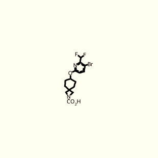 O=C(O)N1CC2(CCC(Oc3ccc(Br)c(C(F)F)n3)CC2)C1